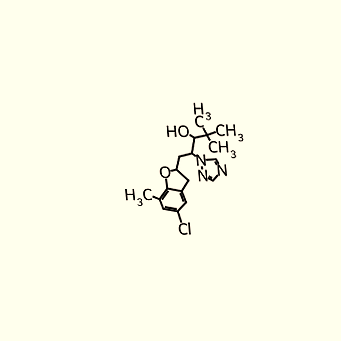 Cc1cc(Cl)cc2c1OC(CC(C(O)C(C)(C)C)n1cncn1)C2